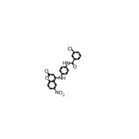 O=C(Nc1ccc(Nc2cc(=O)oc3ccc([N+](=O)[O-])cc23)cc1)c1cccc(Cl)c1